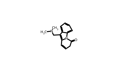 CN(C)Cc1c2n(c3ccccc13)C(=O)CC=C2